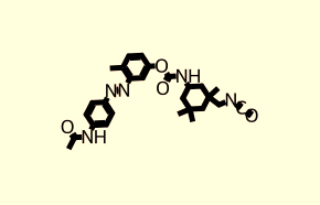 CC(=O)Nc1ccc(N=Nc2cc(OC(=O)NC3CC(C)(C)CC(C)(CN=C=O)C3)ccc2C)cc1